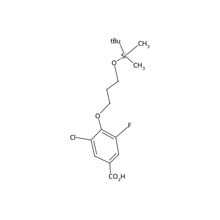 CC(C)(C)[Si](C)(C)OCCCOc1c(F)cc(C(=O)O)cc1Cl